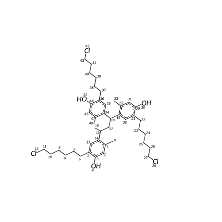 Cc1cc(O)c(CCCCCCCl)cc1C(C)CC(c1cc(CCCCCCCl)c(O)cc1C)c1cc(CCCCCCCl)c(O)cc1C